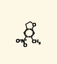 Cc1cc2c(cc1[N+](=O)[O-])CCO2